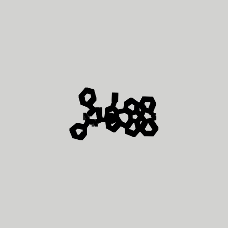 C#Cc1ccccc1-c1cccc2c1-c1c(-c3ccc(-c4nc(-c5ccccc5)nc(-c5ccccc5)n4)cc3)cccc1C21c2ccccc2Sc2ccccc21